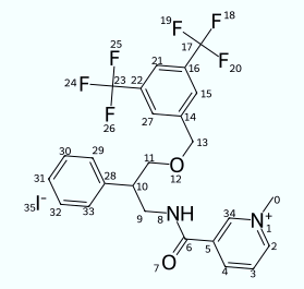 C[n+]1cccc(C(=O)NCC(COCc2cc(C(F)(F)F)cc(C(F)(F)F)c2)c2ccccc2)c1.[I-]